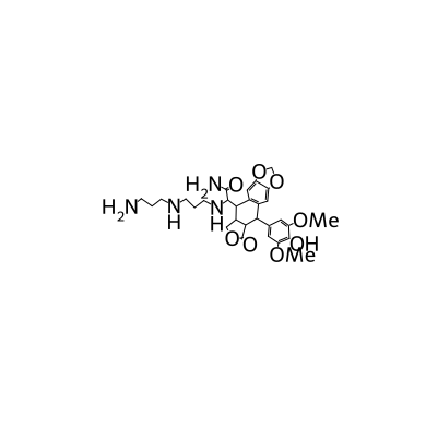 COc1cc(C2c3cc4c(cc3C(C(NCCCNCCCN)C(N)=O)C3COC(=O)C23)OCO4)cc(OC)c1O